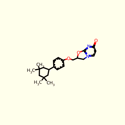 CC1(C)CC(c2ccc(OCC3Cn4ccc(=O)nc4O3)cc2)CC(C)(C)C1